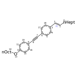 CCCCCCC/C=C/c1ccc(C#Cc2ccc(OCCCCCCCC)cc2)cc1